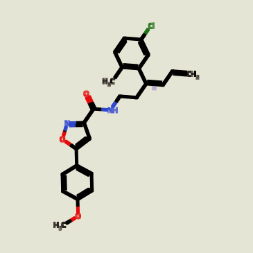 C=C/C=C(/CCNC(=O)c1cc(-c2ccc(OC)cc2)on1)c1cc(Cl)ccc1C